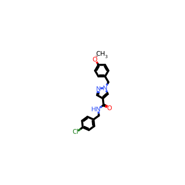 COc1ccc(Cn2cc(C(=O)NCc3ccc(Cl)cc3)cn2)cc1